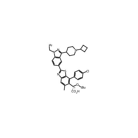 Cc1cc2nc(-c3ccc4c(c3)c(C3CCN(C5CCC5)CC3)nn4CC(C)C)sc2c(-c2ccc(Cl)cc2)c1[C@H](OC(C)(C)C)C(=O)O